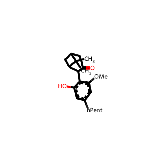 CCCCCc1cc(O)c(C2C(=O)CC3CC2C3(C)C)c(OC)c1